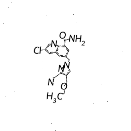 CCOCc1cn(Cc2cc(C(N)=O)c3ncc(Cl)cc3c2)nc1C#N